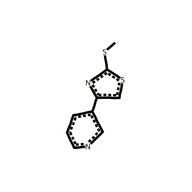 [CH2]Sc1nc(-c2cccnc2)cs1